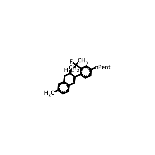 C=C1Cc2cc(C)ccc2C=C1c1ccc(CCCCC)cc1C(C)(C)F